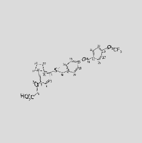 O=C(O)COc1ccc(SCc2ccc(OCc3ccc(OC(F)(F)F)cc3)cc2)c2c1CCC2